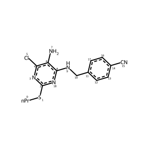 CCCSc1nc(Cl)c(N)c(NCc2ccc(C#N)cc2)n1